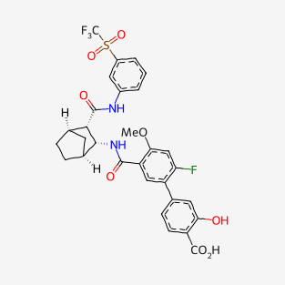 COc1cc(F)c(-c2ccc(C(=O)O)c(O)c2)cc1C(=O)N[C@@H]1[C@H]2CC[C@H](C2)[C@@H]1C(=O)Nc1cccc(S(=O)(=O)C(F)(F)F)c1